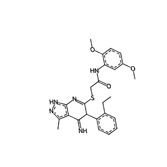 CCc1ccccc1C1C(=N)c2c(C)n[nH]c2N=C1SCC(=O)Nc1cc(OC)ccc1OC